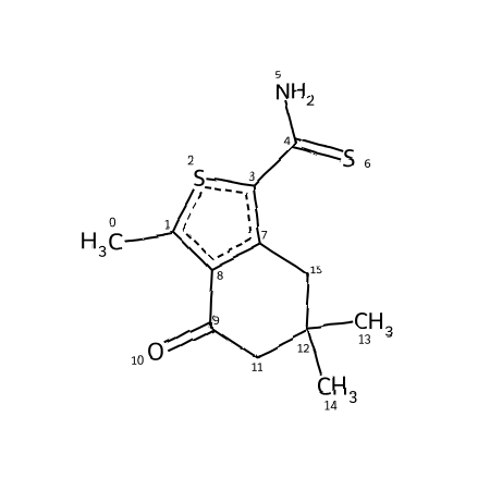 Cc1sc(C(N)=S)c2c1C(=O)CC(C)(C)C2